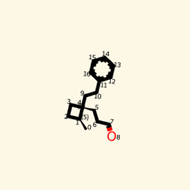 C[C@H]1CC[C@]1(CCC=O)CCc1ccccc1